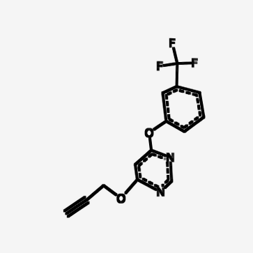 C#CCOc1cc(Oc2cccc(C(F)(F)F)c2)ncn1